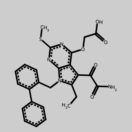 CCc1c(C(=O)C(N)=O)c2c(OCC(=O)O)nc(SC)nc2n1Cc1ccccc1-c1ccccc1